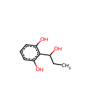 CCC(O)c1c(O)cccc1O